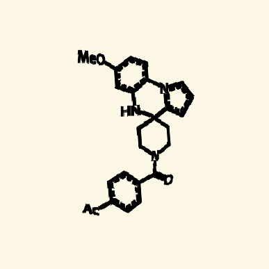 COc1ccc2c(c1)NC1(CCN(C(=O)c3ccc(C(C)=O)cc3)CC1)c1cccn1-2